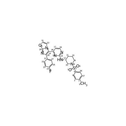 Cc1ccc(S(=O)(=O)N2CCC[C@@H](Nc3nccc(-c4c(-c5ccc(F)cc5)nc5occn45)n3)C2)cc1